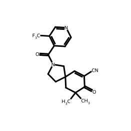 CC1(C)CC2(C=C(C#N)C1=O)CCN(C(=O)c1ccncc1C(F)(F)F)C2